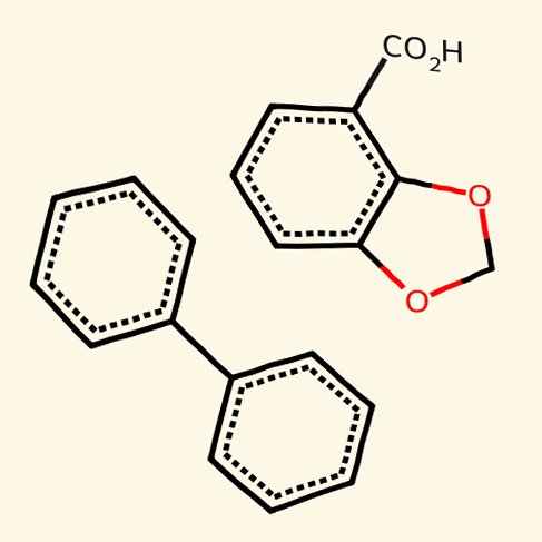 O=C(O)c1cccc2c1OCO2.c1ccc(-c2ccccc2)cc1